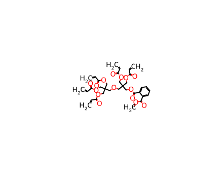 C=CC(=O)OCC(COCC(COC(=O)C=C)(COC(=O)C=C)COC(=O)c1ccccc1C(=O)OC)(COC(=O)C=C)COC(=O)C=C